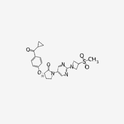 CS(=O)(=O)C1CN(c2ncc(N3CC[C@H](Oc4ccc(C(=O)C5CC5)cc4)C3=O)cn2)C1